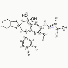 CCCCC1(CCCC)CN(c2ccc(F)c(F)c2)c2cc(SC)c(O/C=C(\F)C(=O)O)cc2S(O)(O)C1